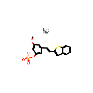 COc1cc(C=Cc2cc3ccccc3s2)cc(OP(=O)([O-])[O-])c1.[Na+].[Na+]